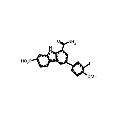 COc1ccc(-c2cc(C(N)=O)c3[nH]c4cc(C(=O)O)ccc4c3c2)cc1F